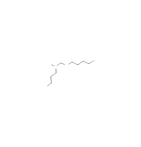 CC(C)CCCCOCN(C)CCCC(C)C